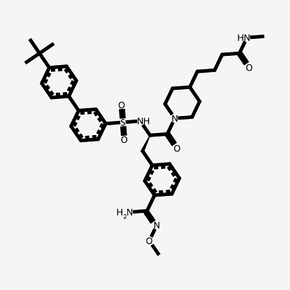 CNC(=O)CCCC1CCN(C(=O)[C@@H](Cc2cccc(/C(N)=N/OC)c2)NS(=O)(=O)c2cccc(-c3ccc(C(C)(C)C)cc3)c2)CC1